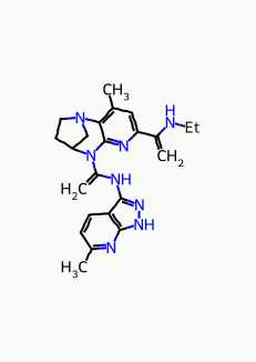 C=C(NCC)c1cc(C)c2c(n1)N(C(=C)Nc1n[nH]c3nc(C)ccc13)C1CCN2C1